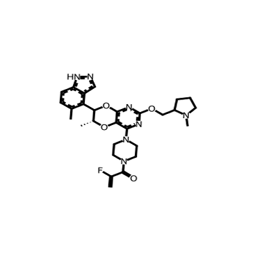 C=C(F)C(=O)N1CCN(c2nc(OCC3CCCN3C)nc3c2O[C@H](C)C(c2c(C)ccc4[nH]ncc24)O3)CC1